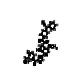 COc1cnc(-n2cnc(C(=O)N3CCN(I)C(CO)C3)n2)c2[nH]cc(C(=O)C(=O)N3CCC(=C(C#N)c4ccccc4)CC3)c12